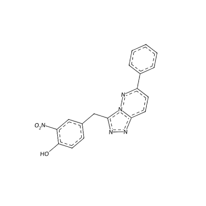 O=[N+]([O-])c1cc(Cc2nnc3ccc(-c4ccccc4)nn23)ccc1O